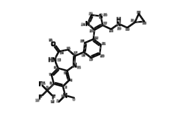 CN(C)c1cc2c(cc1C(F)(F)F)NC(=O)CC(c1cccc(-c3ncsc3CNCC3CC3)c1)=N2